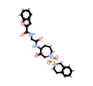 O=C(CNC(=O)c1cc2ccccc2o1)NC1CCCN(S(=O)(=O)N2CCc3ccccc3C2)CC1=O